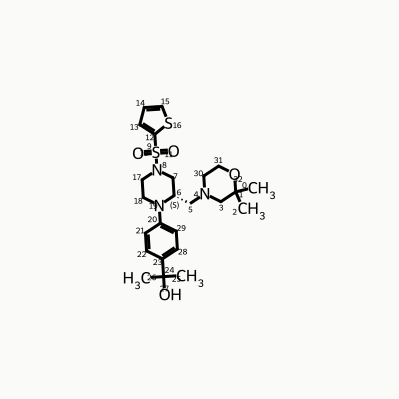 CC1(C)CN(C[C@H]2CN(S(=O)(=O)c3cccs3)CCN2c2ccc(C(C)(C)O)cc2)CCO1